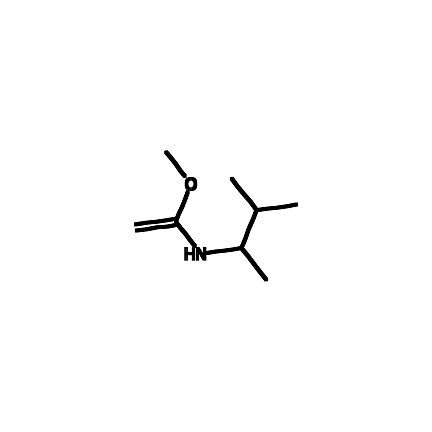 C=C(NC(C)C(C)C)OC